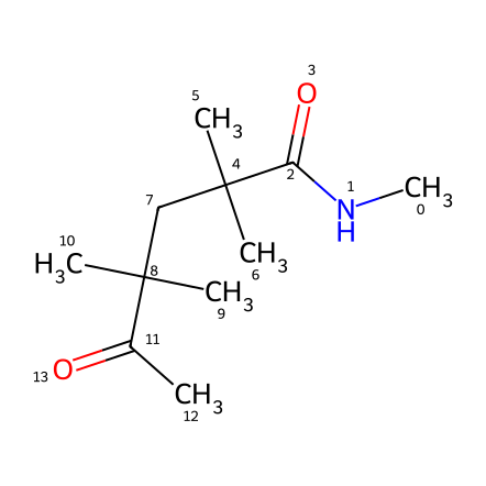 CNC(=O)C(C)(C)CC(C)(C)C(C)=O